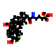 C[C@H](CCC(=O)NCCCS(=O)(=O)O)[C@H]1CC[C@H]2[C@@H]3[C@@H](O)C[C@@H]4C[C@@H](O)C(F)(F)C[C@]4(C)[C@H]3CC[C@]12C